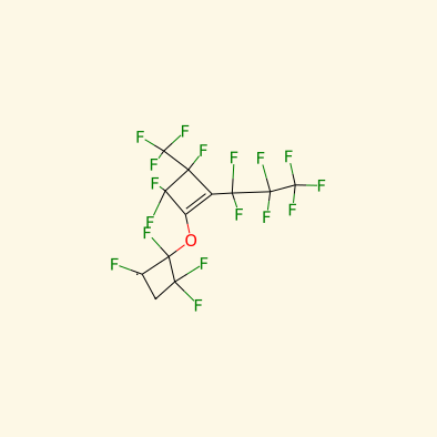 F[C]1CC(F)(F)C1(F)OC1=C(C(F)(F)C(F)(F)C(F)(F)F)C(F)(C(F)(F)F)C1(F)F